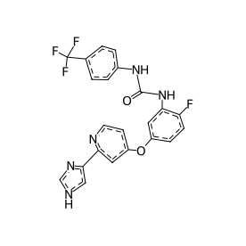 O=C(Nc1ccc(C(F)(F)F)cc1)Nc1cc(Oc2ccnc(-c3c[nH]cn3)c2)ccc1F